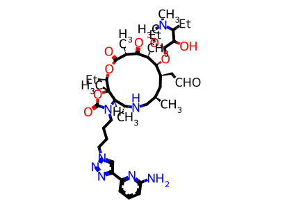 CCO[C@@H](O[C@H]1[C@@H](CC=O)C[C@@H](C)CN[C@H](C)[C@H]2N(CCCCn3cc(-c4cccc(N)n4)nn3)C(=O)O[C@]2(C)[C@@H](CC)OC(=O)[C@H](C)C(=O)[C@@H]1C)C(O)C(CC)N(C)C